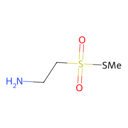 CSS(=O)(=O)CCN